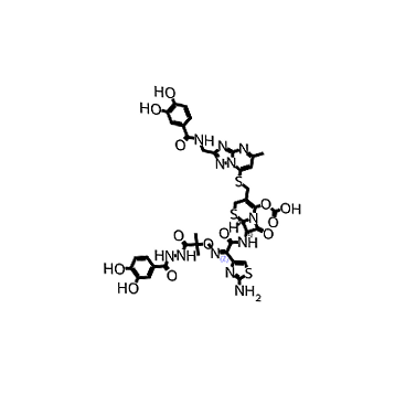 Cc1cc(SCC2=C(OC(=O)O)N3C(=O)[C@@H](NC(=O)/C(=N\OC(C)(C)C(=O)NNC(=O)c4ccc(O)c(O)c4)c4csc(N)n4)[C@H]3SC2)n2nc(CNC(=O)c3ccc(O)c(O)c3)nc2n1